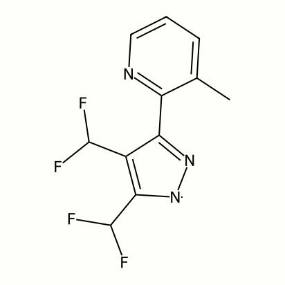 Cc1cccnc1C1=N[N]C(C(F)F)=C1C(F)F